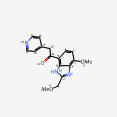 COCc1nc2c(OC)ccc(C(=O)Cc3ccncc3)c2[nH]1